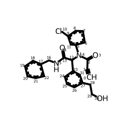 C#CC(=O)N(c1cccc(Cl)c1)C(C(=O)NCc1ccccc1)c1cccc(CCO)c1